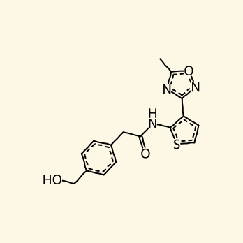 Cc1nc(-c2ccsc2NC(=O)Cc2ccc(CO)cc2)no1